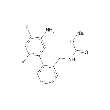 CC(C)(C)OC(=O)NCc1ccccc1-c1cc(N)c(F)cc1F